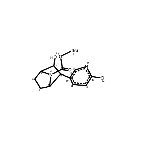 CC(C)(C)OC(=O)N1C2CCC1C(c1ccc(Cl)nc1)C2O